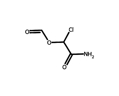 NC(=O)C(Cl)OC=O